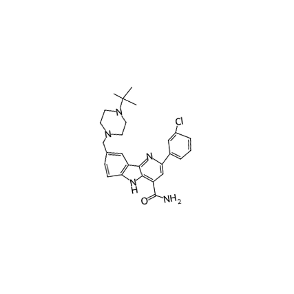 CC(C)(C)N1CCN(Cc2ccc3[nH]c4c(C(N)=O)cc(-c5cccc(Cl)c5)nc4c3c2)CC1